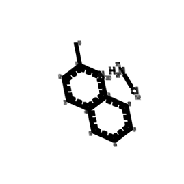 Cc1ccc2ccccc2n1.NCl